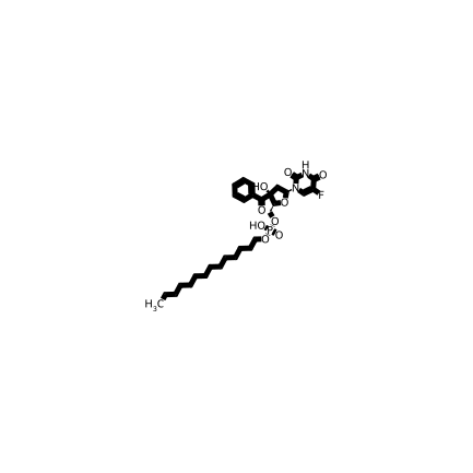 CCCCCCCCCCCCCCOP(=O)(O)OC[C@H]1O[C@@H](n2cc(F)c(=O)[nH]c2=O)C[C@@]1(O)C(=O)c1ccccc1